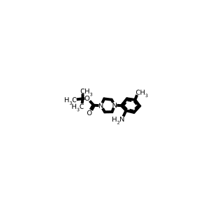 Cc1ccc(N)c(N2CCN(C(=O)OC(C)(C)C)CC2)c1